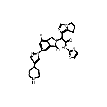 O=C(Nc1nccs1)C(c1ncn2c1CCC2)N1Cc2c(F)cc(-n3cc(C4CCNCC4)cn3)cc2C1=O